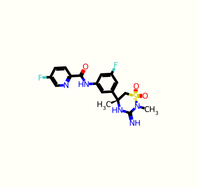 CN1C(=N)N[C@](C)(c2cc(F)cc(NC(=O)c3ccc(F)cn3)c2)CS1(=O)=O